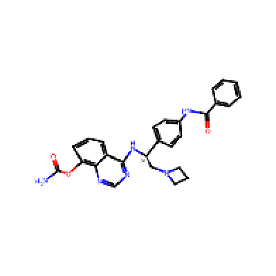 NC(=O)Oc1cccc2c(N[C@H](CN3CCC3)c3ccc(NC(=O)c4ccccc4)cc3)ncnc12